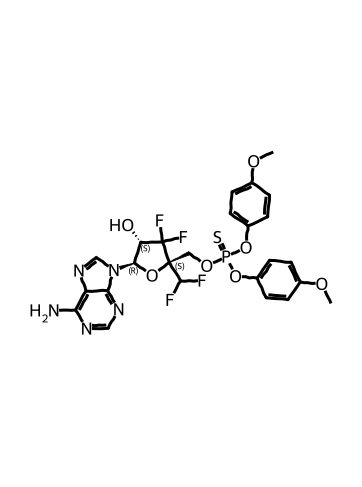 COc1ccc(OP(=S)(OC[C@@]2(C(F)F)O[C@@H](n3cnc4c(N)ncnc43)[C@H](O)C2(F)F)Oc2ccc(OC)cc2)cc1